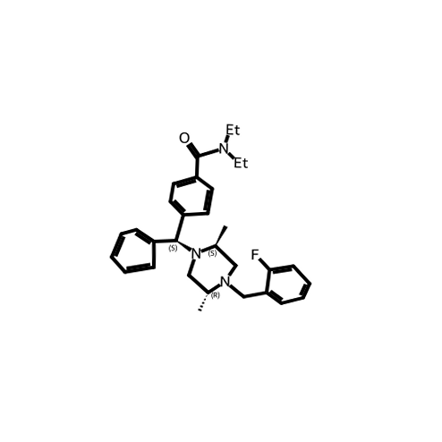 CCN(CC)C(=O)c1ccc([C@H](c2ccccc2)N2C[C@@H](C)N(Cc3ccccc3F)C[C@@H]2C)cc1